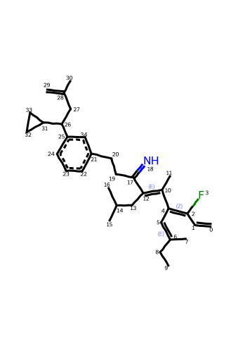 C=C/C(F)=C(\C=C(/C)CC)C(/C)=C(\CC(C)C)C(=N)CCc1cccc(C(CC(=C)C)C2CC2)c1